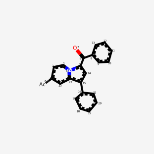 CC(=O)c1ccn2c(C(=O)c3ccccc3)cc(-c3ccccc3)c2c1